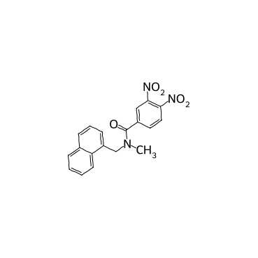 CN(Cc1cccc2ccccc12)C(=O)c1ccc([N+](=O)[O-])c([N+](=O)[O-])c1